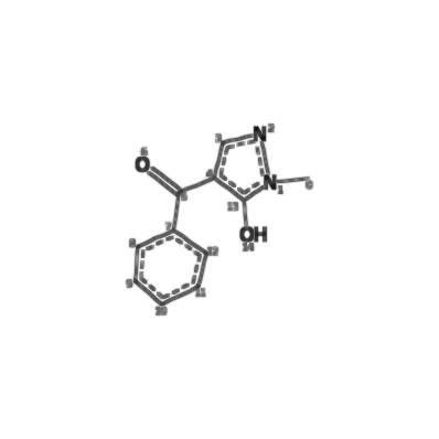 Cn1ncc(C(=O)c2ccccc2)c1O